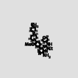 CCc1nc2c(N)nnc(-c3ccc(N4CCCC(N5CCN(C)CC5)CC4)c(OC)c3)c2nc1NC1CCOCC1